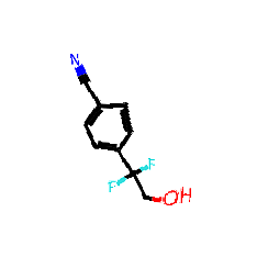 N#Cc1ccc(C(F)(F)CO)cc1